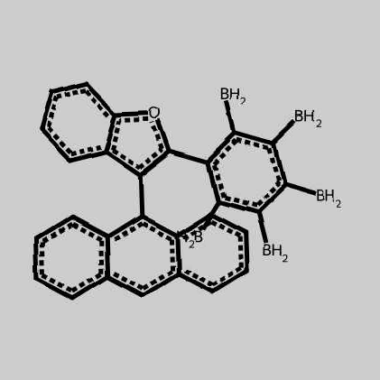 Bc1c(B)c(B)c(-c2oc3ccccc3c2-c2c3ccccc3cc3ccccc23)c(B)c1B